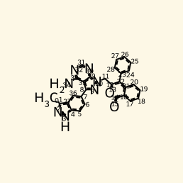 Cc1n[nH]c2ccc(-c3nn(Cc4oc(=O)c5ccccc5c4-c4ccccc4)c4ncnc(N)c34)cc12